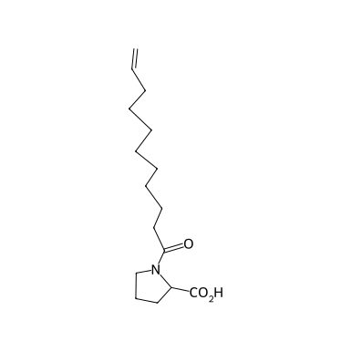 C=CCCCCCCCCC(=O)N1CCCC1C(=O)O